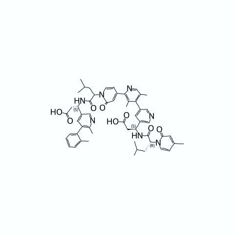 Cc1ccn([C@H](CC(C)C)C(=O)N[C@@H](CC(=O)O)c2cncc(-c3c(C)cnc(-c4ccn(C(CC(C)C)C(=O)N[C@@H](CC(=O)O)c5cnc(C)c(-c6ccccc6C)c5)c(=O)c4)c3C)c2)c(=O)c1